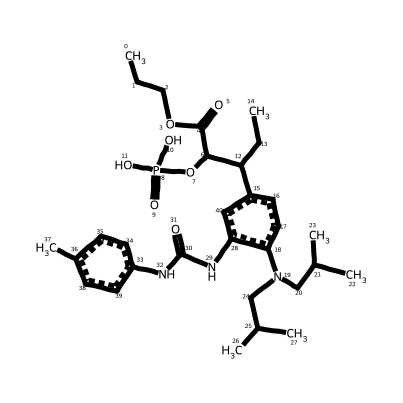 CCCOC(=O)C(OP(=O)(O)O)C(CC)c1ccc(N(CC(C)C)CC(C)C)c(NC(=O)Nc2ccc(C)cc2)c1